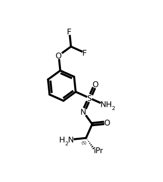 CC(C)[C@H](N)C(=O)N=S(N)(=O)c1cccc(OC(F)F)c1